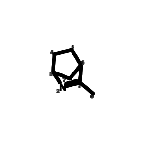 CC1=NC2CCC1C2